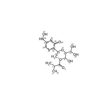 CC(C)C(=O)OC(O)C(OC(C)n1ccc(NO)nc1=O)C(O)O